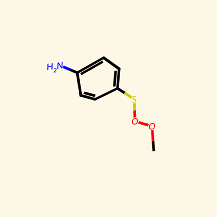 COOSc1ccc(N)cc1